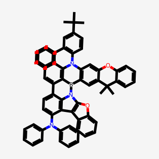 CC(C)(C)c1ccc(N2c3cc4c(cc3B3c5c(cc6ccccc6c52)-c2ccc(N(c5ccccc5)c5ccccc5)c5c6c7ccccc7oc6n3c25)C(C)(C)c2ccccc2O4)c(-c2ccccc2)c1